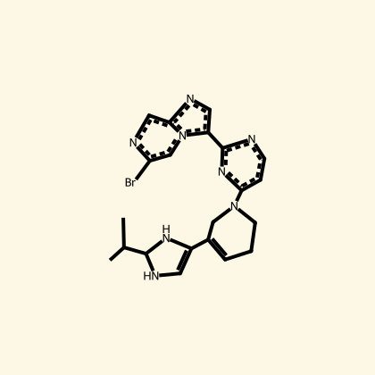 CC(C)C1NC=C(C2=CCCN(c3ccnc(-c4cnc5cnc(Br)cn45)n3)C2)N1